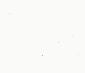 Cc1c(C#N)ccc2c1C(=N)N(C1CC1)S2(=O)=O